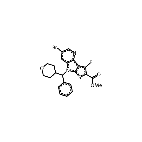 COC(=O)c1sc2c(c1F)c1ncc(Br)cc1n2C(c1ccccc1)C1CCOCC1